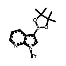 CC(C)n1cc(B2OC(C)(C)C(C)(C)O2)c2cccnc21